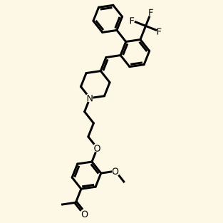 COc1cc(C(C)=O)ccc1OCCCN1CCC(=Cc2cccc(C(F)(F)F)c2-c2ccccc2)CC1